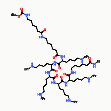 CCCNCCCCC(NC(=O)CCCCCNC(=O)CCCCCNC(=O)OC(C)(C)C)C(=O)NC(CCCCNCCC)C(=O)NC(CCCCNCCC)C(=O)NC(CCCCNCCC)C(=O)NC(CCCCNCCC)C(=O)NCCCCCC(=O)NCC